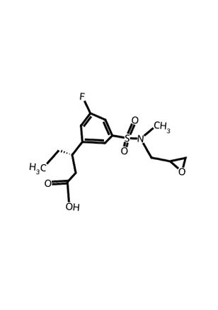 CC[C@@H](CC(=O)O)c1cc(F)cc(S(=O)(=O)N(C)CC2CO2)c1